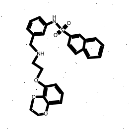 O=S(=O)(Nc1cccc(CNCCOc2cccc3c2OCCO3)c1)c1ccc2ccccc2c1